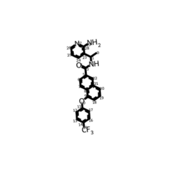 CC(NC(=O)c1ccc2c(Oc3ccc(C(F)(F)F)cc3)cccc2c1)c1cccnc1N